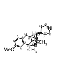 COc1ccc2c(c1)[C@@]1(C)CCN(C)[C@H](C2)[C@H]1N(C)CC1CCNCC1